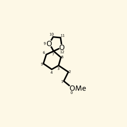 COCCC1CCCC2(C1)OCCO2